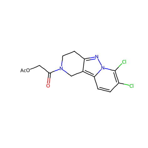 CC(=O)OCC(=O)N1CCc2nn3c(Cl)c(Cl)ccc3c2C1